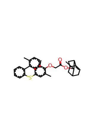 Cc1ccccc1-c1ccccc1Sc1cc(C)c(OCC(=O)OC2(C)C3CC=C4C(C3)CC42)c(C)c1